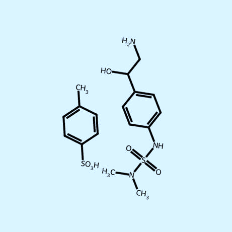 CN(C)S(=O)(=O)Nc1ccc(C(O)CN)cc1.Cc1ccc(S(=O)(=O)O)cc1